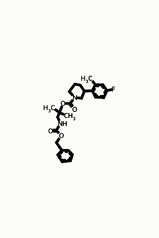 Cc1cc(F)ccc1C1CCCN(C(=O)OC(C)(C)CNC(=O)OCc2ccccc2)C1